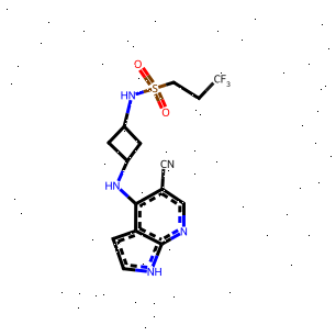 N#Cc1cnc2[nH]ccc2c1NC1CC(NS(=O)(=O)CCC(F)(F)F)C1